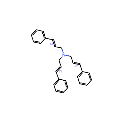 C(=C\c1ccccc1)/CN(C/C=C/c1ccccc1)C/C=C/c1ccccc1